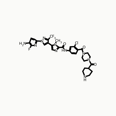 Cn1c(-c2cn(-c3ccc(N)c(F)n3)nc2C(F)(F)F)cnc1C(=O)Nc1ccc(C(=O)N2CCN(C(=O)C3CCNCC3)CC2)c(Cl)c1